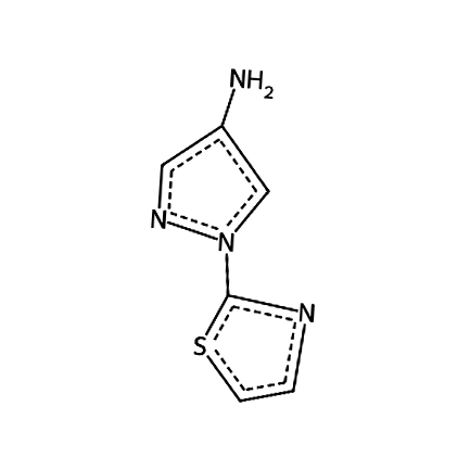 Nc1cnn(-c2nccs2)c1